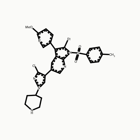 CCc1c(-c2ccc(OC)nc2)c2cc(-c3cn(C4CCNCC4)nc3Cl)cnc2n1S(=O)(=O)c1ccc(C)cc1